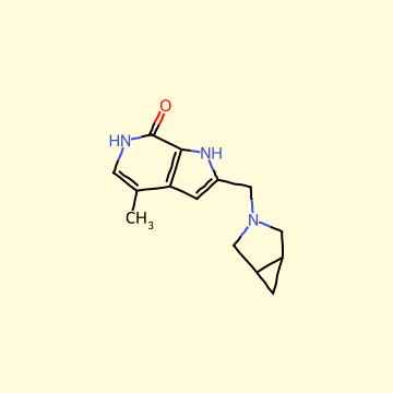 Cc1c[nH]c(=O)c2[nH]c(CN3CC4CC4C3)cc12